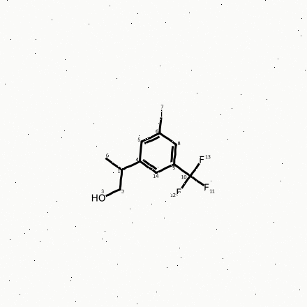 C[C](CO)c1cc(I)cc(C(F)(F)F)c1